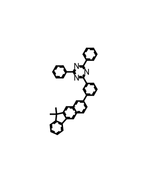 CC1(C)c2ccccc2-c2cc3ccc(-c4cccc(-c5nc(-c6ccccc6)nc(-c6ccccc6)n5)c4)cc3cc21